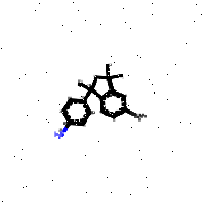 CNc1ccc2c(c1)C(C)(C)CC2(C)c1ccc(N)cc1